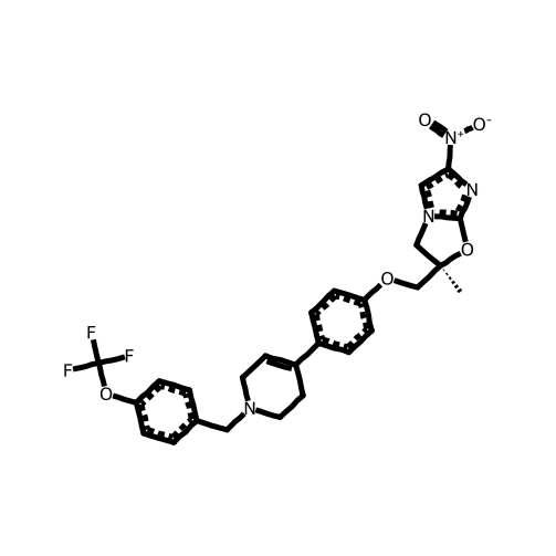 C[C@]1(COc2ccc(C3=CCN(Cc4ccc(OC(F)(F)F)cc4)CC3)cc2)Cn2cc([N+](=O)[O-])nc2O1